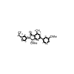 COc1cncc(-c2cc(C)c3c(n2)[C@H](OC)N(c2cnn(CC(F)(F)F)c2)C3=O)c1